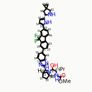 COC(=O)N[C@@H](C(C)C)C(O)N1[C@@H]2CC[C@@H](C2)[C@H]1c1nc2ccc(-c3ccc4c(c3)C(F)(F)c3cc(-c5ccc([C@@H]6CC7(CC7)CN6)[nH]5)ccc3-4)cc2[nH]1